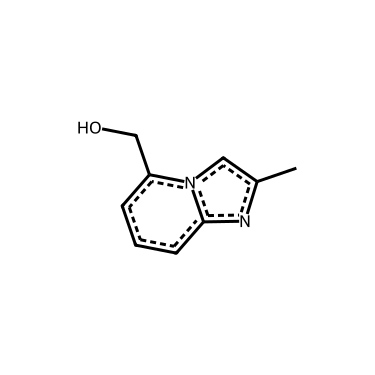 Cc1cn2c(CO)cccc2n1